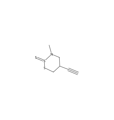 C#CC1CSS(=S)N(C)C1